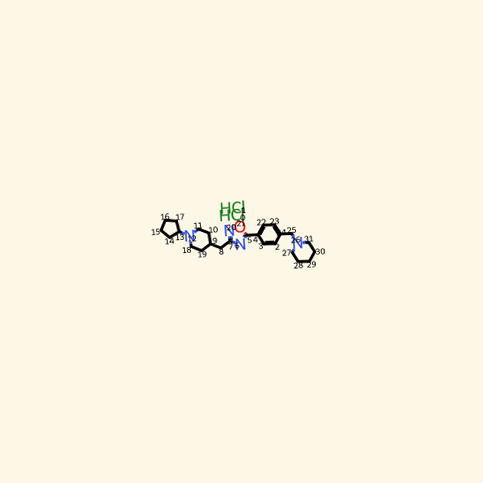 Cl.Cl.c1cc(-c2nc(CC3CCN(C4CCCC4)CC3)no2)ccc1CN1CCCCC1